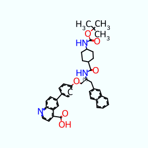 CC(C)(C)OC(=O)NC1CCC(C(=O)N[C@H](COc2ccc(-c3ccc4nccc(C(=O)O)c4c3)cc2)Cc2ccc3ccccc3c2)CC1